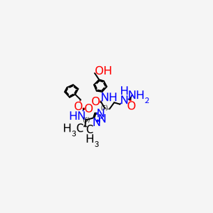 CC(C)[C@H](NC(=O)OCc1ccccc1)c1cn([C@@H](CCCNC(N)=O)C(=O)Nc2ccc(CO)cc2)nn1